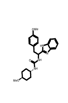 COc1ccc(CC(NC(=O)N[C@H]2CC[C@H](OC)CC2)c2nc3ccccc3[nH]2)cc1